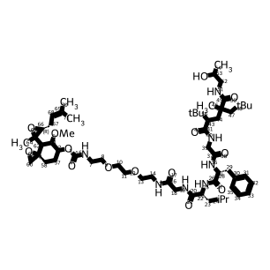 COC1C(OC(=O)NCCOCCOCCNC(=O)CNC(=O)[C@@H](CC(C)C)NC(=O)[C@@H](Cc2ccccc2)NC(=O)CNC(=O)C(CC(C)(CC(C)(C)C)C(=O)NCC(C)O)C(C)(C)C)CC[C@]2(CO2)C1C1(C)O[C@@H]1CC=C(C)C